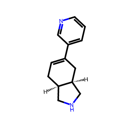 C1=C(c2cccnc2)C[C@H]2CNC[C@H]2C1